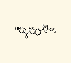 O=C(NCc1ccc(-c2nnc(C(F)(F)F)o2)cc1F)N1CCNCC1